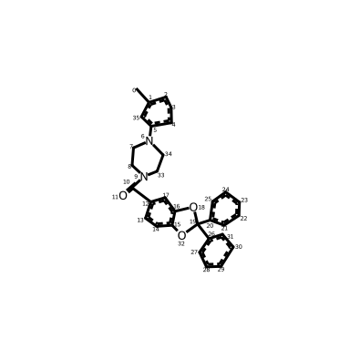 Cc1cccc(N2CCN(C(=O)c3ccc4c(c3)OC(c3ccccc3)(c3ccccc3)O4)CC2)c1